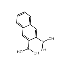 OB(O)c1cc2ccccc2cc1B(O)O